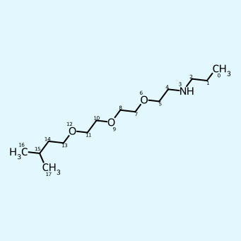 CCCNCCOCCOCCOCCC(C)C